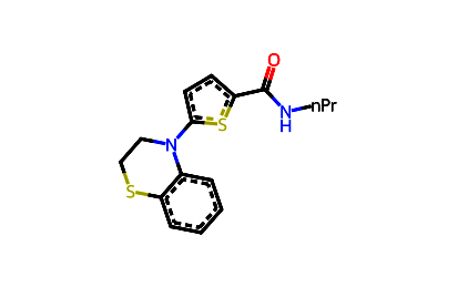 CCCNC(=O)c1ccc(N2CCSc3ccccc32)s1